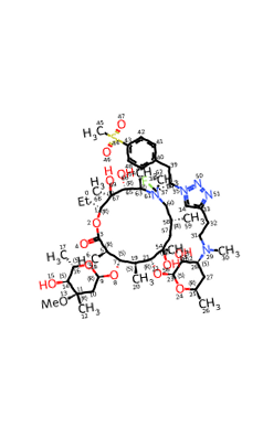 CC[C@H]1OC(=O)[C@H](C)[C@@H](O[C@H]2C[C@@](C)(OC)[C@@H](O)[C@H](C)O2)[C@H](C)[C@@H](O[C@@H]2O[C@H](C)C[C@H](N(C)CCc3cn([C@H](CF)Cc4ccc(S(C)(=O)=O)cc4)nn3)[C@H]2O)[C@](C)(O)C[C@@H](C)CN(C)[C@H](C)[C@@H](O)[C@]1(C)O